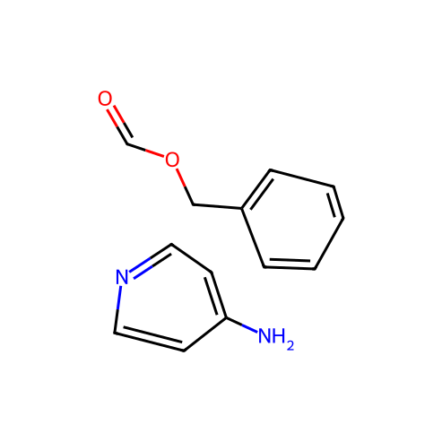 Nc1ccncc1.O=COCc1ccccc1